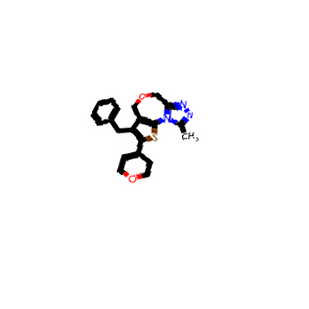 Cc1nnc2n1-c1sc(C3=CCOCC3)c(Cc3ccccc3)c1COC2